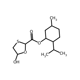 CC1CCC(C(C)C)C(OC(=O)C2OC(O)CS2)C1